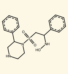 O=S(=O)(CC(NO)c1ccccc1)N1CCNCC1c1ccccc1